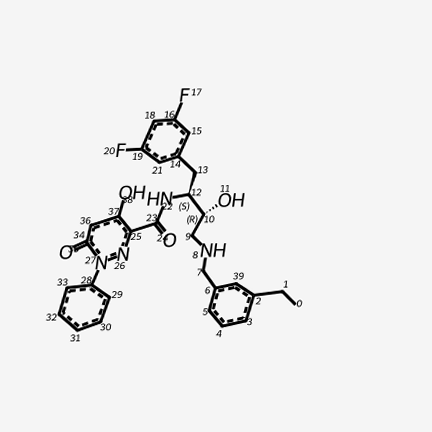 CCc1cccc(CNC[C@@H](O)[C@H](Cc2cc(F)cc(F)c2)NC(=O)c2nn(-c3ccccc3)c(=O)cc2O)c1